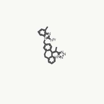 CCCc1nc2c(C)cccc2n1Cc1ccc2c(c1)CCc1ccccc1/C2=C(/C)c1nnn[nH]1